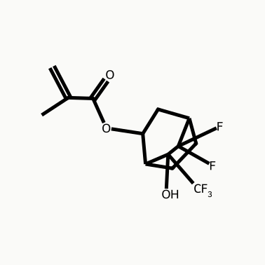 C=C(C)C(=O)OC1CC2CCC1C(O)(C(F)(F)F)C2(F)F